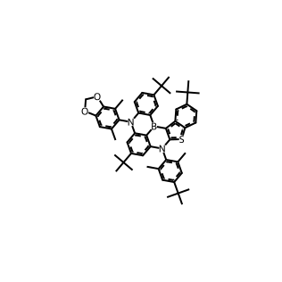 Cc1cc(C(C)(C)C)cc(C)c1N1c2cc(C(C)(C)C)cc3c2B(c2cc(C(C)(C)C)ccc2N3c2c(C)cc3c(c2C)OCO3)c2c1sc1ccc(C(C)(C)C)cc21